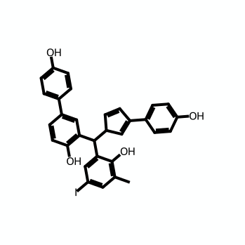 Cc1cc(I)cc(C(c2cc(-c3ccc(O)cc3)ccc2O)C2C=CC(c3ccc(O)cc3)=C2)c1O